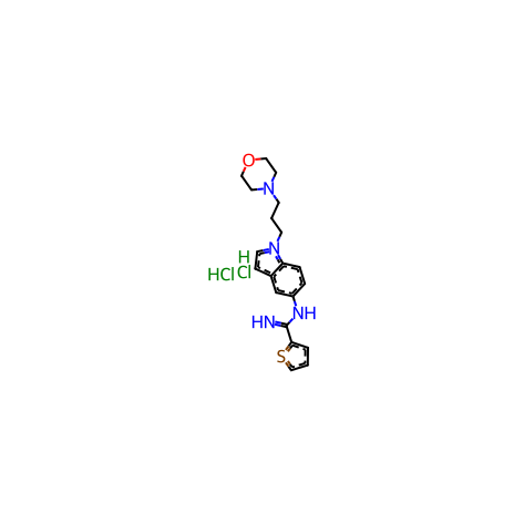 Cl.Cl.N=C(Nc1ccc2c(ccn2CCCN2CCOCC2)c1)c1cccs1